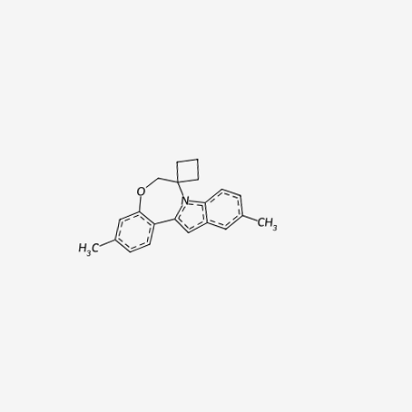 Cc1ccc2c(c1)OCC1(CCC1)n1c-2cc2cc(C)ccc21